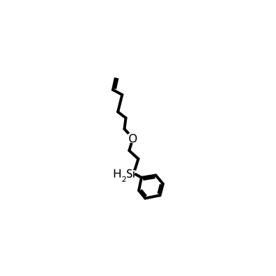 C=CCCCCOCC[SiH2]c1ccccc1